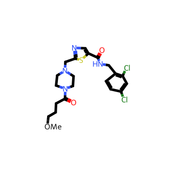 COCCCC(=O)N1CCN(Cc2ncc(C(=O)NCc3ccc(Cl)cc3Cl)s2)CC1